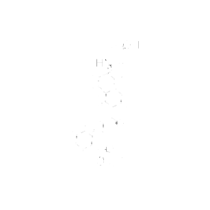 O=C(C=Cc1ccccc1C1OCCO1)c1ccc2cc(NCCO)ccc2c1